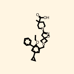 CCOc1c(CN2CC3(CC(N4CCC(C)(C(=O)O)CC4)=NO3)C2)cc(C2CC2)cc1-c1ccccc1